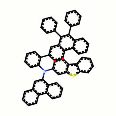 c1ccc(-c2c(-c3ccccc3)c3cc(-c4ccccc4N(c4ccc5c(c4)sc4ccccc45)c4cc5ccccc5c5ccccc45)ccc3c3ccccc23)cc1